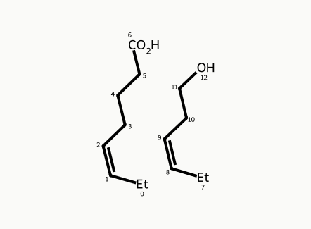 CC/C=C\CCCC(=O)O.CC/C=C\CCO